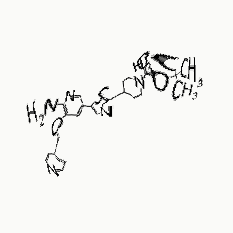 CC(C)(C)OC(=O)N1CCC(c2ncc(-c3cnc(N)c(OCc4ccncc4)c3)s2)CC1